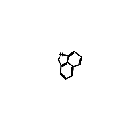 c1cc2c3c(cccc3c1)[N]C2